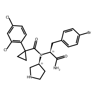 NC(=O)[C@H](Cc1ccc(Br)cc1)N(C(=O)C1(c2ccc(Cl)cc2Cl)CC1)[C@H]1CCNC1